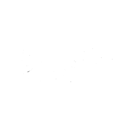 C=C1CC[C@@H]2C(C)(C)[C@H](O)CC[C@@]2(C)[C@@H]1CCC(C)=CC(=O)Nc1ccc(CC)cc1